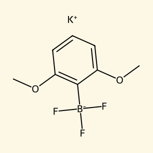 COc1cccc(OC)c1[B-](F)(F)F.[K+]